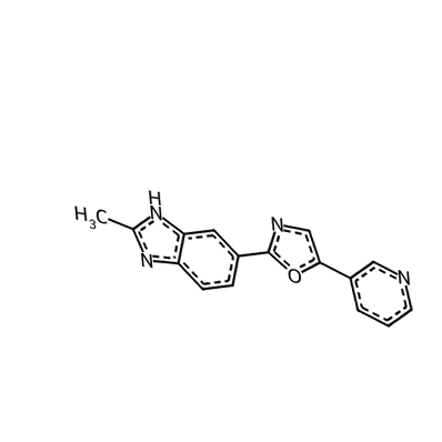 Cc1nc2ccc(-c3ncc(-c4cccnc4)o3)cc2[nH]1